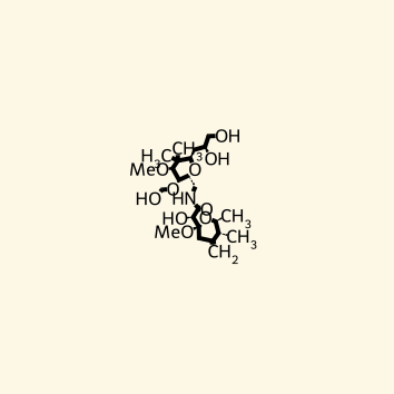 C=C1C[C@](OC)([C@H](O)C(=O)NC[C@H]2O[C@H](C[C@H](O)CO)C(C)(C)[C@H](OC)[C@H]2OCO)O[C@H](C)[C@@H]1C